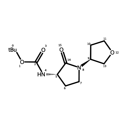 CC(C)(C)OC(=O)N[C@H]1CCN([C@H]2CCOC2)C1=O